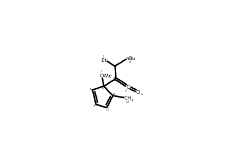 CCCCC(CC)C(=C=O)C1(OC)C=CC=C1C